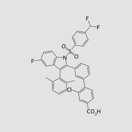 Cc1cccc(C)c1-c1c(-c2cccc(-c3ccc(C(=O)O)cc3Cl)c2)n(S(=O)(=O)c2ccc(C(F)F)cc2)c2ccc(F)cc12